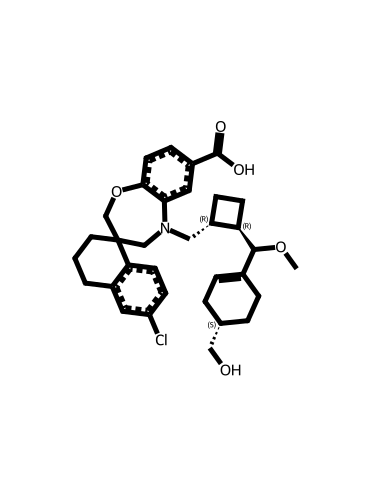 COC(C1=CC[C@@H](CO)CC1)[C@@H]1CC[C@H]1CN1CC2(CCCc3cc(Cl)ccc32)COc2ccc(C(=O)O)cc21